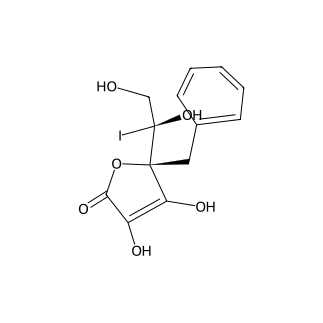 O=C1O[C@](Cc2ccccc2)([C@](O)(I)CO)C(O)=C1O